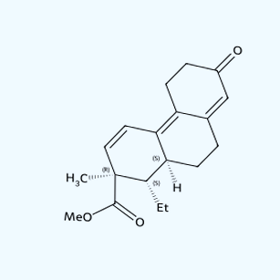 CC[C@H]1[C@@H]2CCC3=CC(=O)CCC3=C2C=C[C@]1(C)C(=O)OC